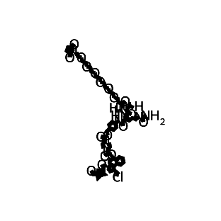 CC(C)C(NC(=O)CCOCCOCCOCCOCCOCCOCCN1C(=O)C=CC1=O)C(=O)NC(CCCNC(N)=O)C(=O)Nc1ccc(COC(=O)N2CCN(C(=O)Oc3cc4c(c5ccccc35)C(CCl)CN4C(=O)C34CC5(C=O)CC53C4)CC2)cc1